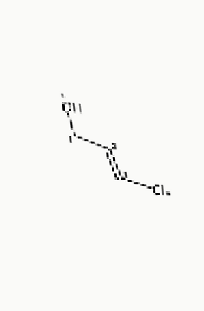 OC/C=[C]/Cl